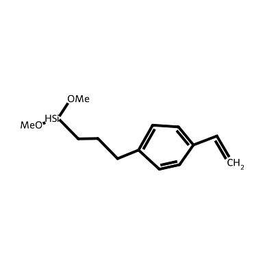 C=Cc1ccc(CCC[SiH](OC)OC)cc1